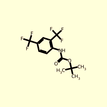 CC(C)(C)OC(=O)Nc1ccc(C(F)(F)F)cc1C(F)(F)F